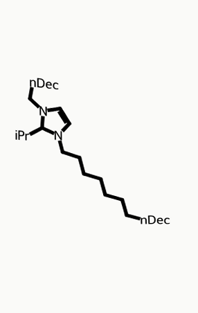 CCCCCCCCCCCCCCCCCN1C=CN(CCCCCCCCCCC)C1C(C)C